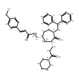 O=C(/C=C/c1ccc(CI)cc1)NC[C@@H]1CCN(CC(c2ccccc2)c2ccccc2)C(=O)[C@H](CCC(=O)N2CCCCC2)N1